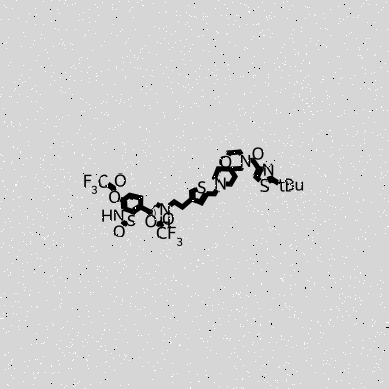 CC(C)(C)c1nc(C(=O)N2CCOC3(CCN(Cc4cc(CCNC[C@H](OC(=O)C(F)(F)F)c5ccc(OC(=O)C(F)(F)F)c6[nH]c(=O)sc56)cs4)CC3)C2)cs1